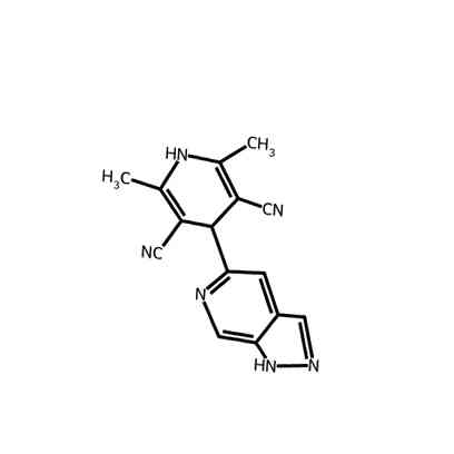 CC1=C(C#N)C(c2cc3cn[nH]c3cn2)C(C#N)=C(C)N1